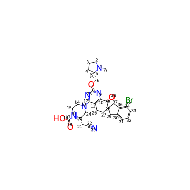 CN1CCC[C@H]1COc1nc2c(c(N3CCN(C(=O)O)[C@@H](CC#N)C3)n1)CCC1(Cc3cccc(Br)c3C1)C2=O